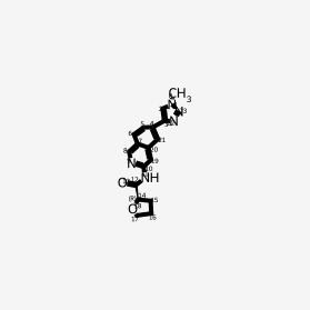 Cn1cc(-c2ccc3cnc(NC(=O)[C@H]4CCCO4)cc3c2)nn1